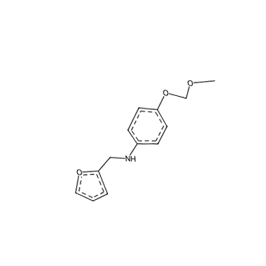 COCOc1ccc(NCc2ccco2)cc1